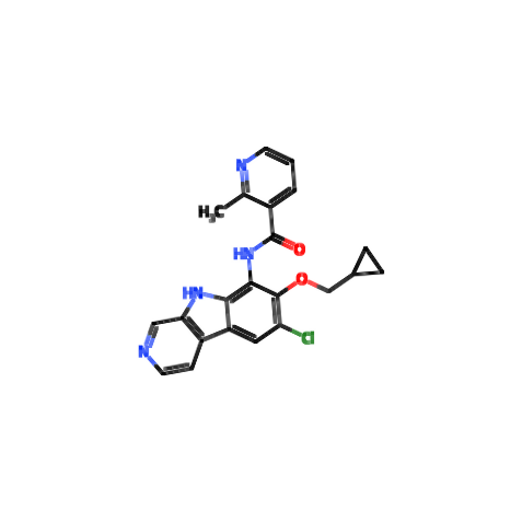 Cc1ncccc1C(=O)Nc1c(OCC2CC2)c(Cl)cc2c1[nH]c1cnccc12